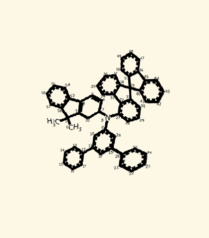 CC1(C)C2=C(C=CC(N(c3cc(-c4ccccc4)cc(-c4ccccc4)c3)c3cccc4c3-c3ccccc3C43c4ccccc4-c4ccccc43)C2)c2ccccc21